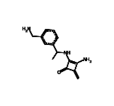 C=C1C(=O)C(NC(C)c2cccc(CN)c2)=C1N